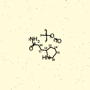 CC(C)(C)OC=O.NC(=O)CCC1CCCCN1